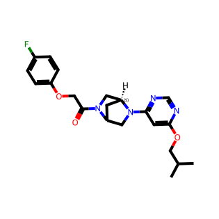 CC(C)COc1cc(N2CC3C[C@H]2CN3C(=O)COc2ccc(F)cc2)ncn1